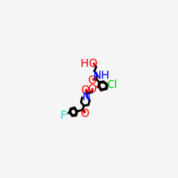 O=C(NCCO)c1cc(Cl)ccc1OCC(=O)N1CCC(C(=O)c2ccc(F)cc2)CC1